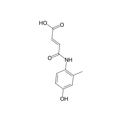 Cc1cc(O)ccc1NC(=O)C=CC(=O)O